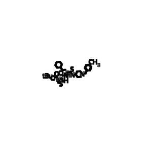 Cc1ccc(CN2CCC(NC(=S)[C@@H](CCC3CCCCC3)NC(=O)[C@@H]3CSCN3C(=O)OC(C)(C)C)CC2)cc1